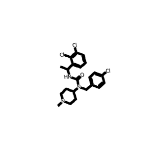 CC(NC(=O)N(Cc1ccc(Cl)cc1)C1CCN(C)CC1)c1cccc(Cl)c1Cl